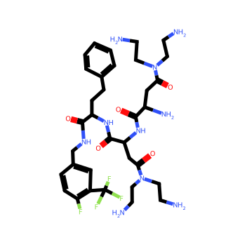 NCCN(CCN)C(=O)CC(N)C(=O)NC(CC(=O)N(CCN)CCN)C(=O)NC(CCc1ccccc1)C(=O)NCc1ccc(F)c(C(F)(F)F)c1